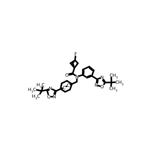 CC(C)(C)c1nc(-c2cccc(N(CC34CCC(c5noc(C(C)(C)C)n5)(CC3)CC4)C(=O)C34CC(F)(C3)C4)c2)no1